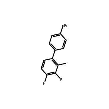 CCCc1ccc(-c2ccc(F)c(F)c2F)cc1